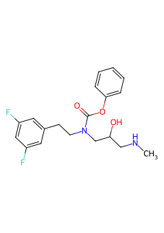 CNCC(O)CN(CCc1cc(F)cc(F)c1)C(=O)Oc1ccccc1